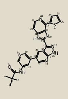 CC(C)(C)C(=O)Nc1cncc(-c2cnc3[nH]nc(-c4nc5c(-c6cccs6)nccc5[nH]4)c3c2)c1